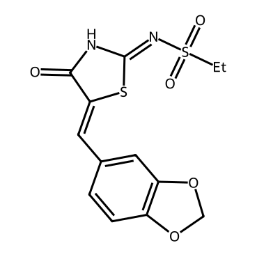 CCS(=O)(=O)N=C1NC(=O)C(=Cc2ccc3c(c2)OCO3)S1